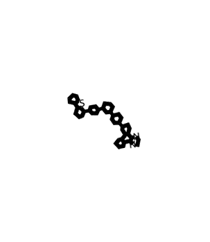 c1cc(-c2ccc(-c3ccc4c(c3)c3ccccc3c3nccnc43)cc2)cc(-c2ccc(-c3cccc4c3sc3ccccc34)cc2)c1